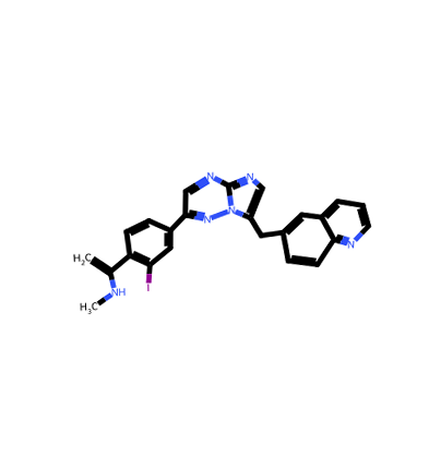 C=C(NC)c1ccc(-c2cnc3ncc(Cc4ccc5ncccc5c4)n3n2)cc1I